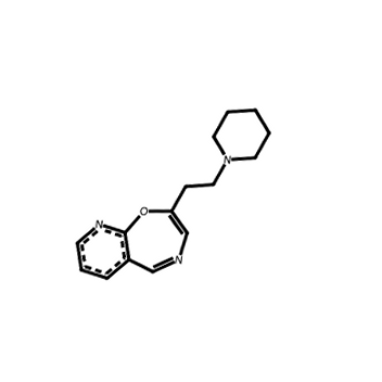 C1=NC=C(CCN2CCCCC2)Oc2ncccc21